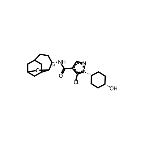 O=C(N[C@H]1CCC2CC3CC(C2)C1C3)c1cnn([C@H]2CC[C@@H](O)CC2)c1Cl